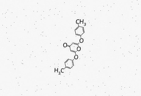 Cc1ccc(Oc2cc(=O)cc(Oc3ccc(C)cc3)o2)cc1